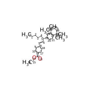 CCCCCC(/C=C/c1ccc(C(=O)OCC)cc1)c1ccc2c(c1)C(C)(C)CCC2(C)C